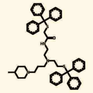 CC1CCN(CCCN(CCNC(=O)CSC(c2ccccc2)(c2ccccc2)c2ccccc2)CCSC(c2ccccc2)(c2ccccc2)c2ccccc2)CC1